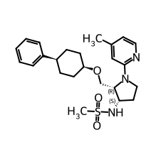 Cc1ccnc(N2CC[C@H](NS(C)(=O)=O)[C@@H]2CO[C@H]2CC[C@@H](c3ccccc3)CC2)c1